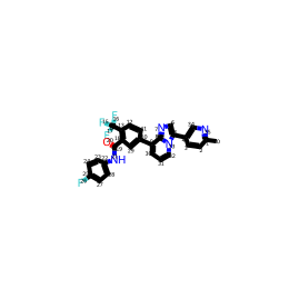 Cc1ccc(-c2cnc3c(-c4ccc(C(F)(F)F)c(C(=O)Nc5ccc(F)cc5)c4)cccn23)cn1